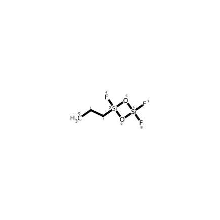 CCC[Si]1(F)O[Si](F)(F)O1